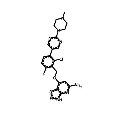 CN1CCN(c2ncc(-c3ccc(F)c(COc4cc(N)nc5[nH]nnc45)c3Cl)cn2)CC1